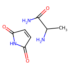 CC(N)C(N)=O.O=C1C=CC(=O)N1